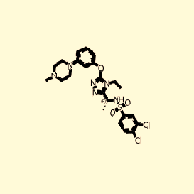 CCn1c(Oc2cccc(N3CCN(C)CC3)c2)nnc1[C@@H](C)NS(=O)(=O)c1ccc(Cl)c(Cl)c1